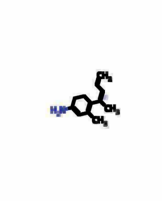 C=C/C=C(/C)C1=C(C)C=C(N)CC1